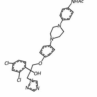 CC(=O)Nc1ccc(N2CCN(c3ccc(OCC(O)(Cn4cncn4)c4ccc(Cl)cc4Cl)cc3)CC2)cc1